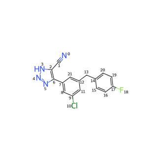 N#Cc1[nH]nnc1-c1cc(Cl)cc(Cc2ccc(F)cc2)c1